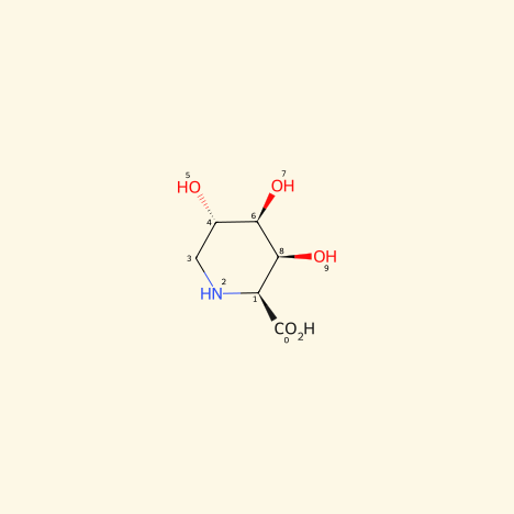 O=C(O)[C@H]1NC[C@H](O)[C@@H](O)[C@H]1O